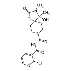 CN1C(=O)OC2(CCN(C(=O)NC(=O)c3cccnc3Cl)CC2)C1(C)O